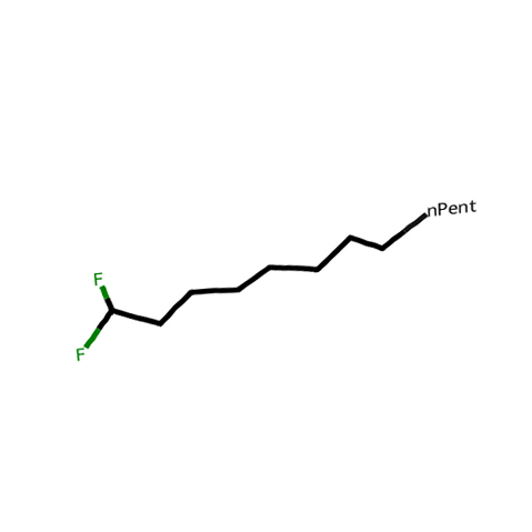 CCCCCCCCCCCC[C](F)F